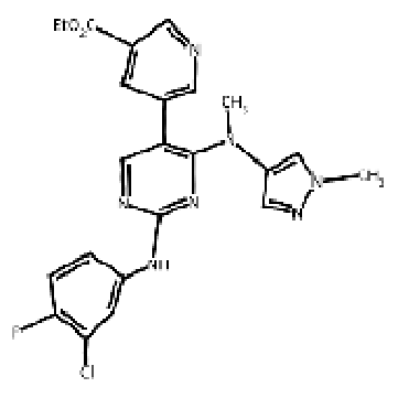 CCOC(=O)c1cncc(-c2cnc(Nc3ccc(F)c(Cl)c3)nc2N(C)c2cnn(C)c2)c1